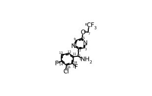 NC(c1cnc(OCC(F)(F)F)cn1)c1ccc(F)c(Cl)c1F